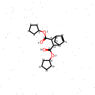 O=C(OC1CCCC1)C1C2C=CC(C2)C1C(=O)OC1CCCC1